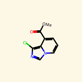 COC(=O)c1cccn2cnc(Cl)c12